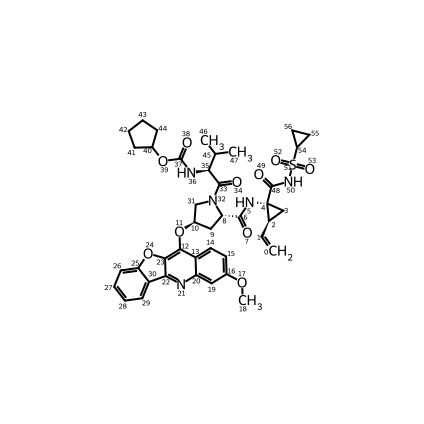 C=C[C@@H]1C[C@]1(NC(=O)[C@@H]1C[C@@H](Oc2c3ccc(OC)cc3nc3c2oc2ccccc23)CN1C(=O)[C@@H](NC(=O)OC1CCCC1)C(C)C)C(=O)NS(=O)(=O)C1CC1